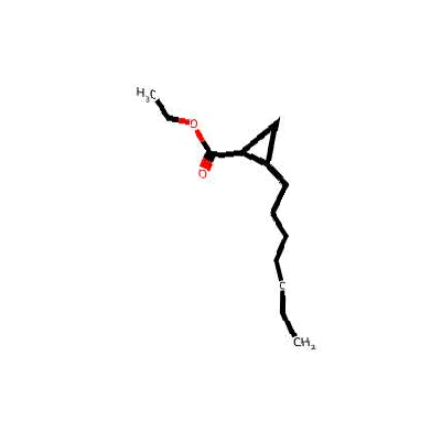 CCCCCCCC1CC1C(=O)OCC